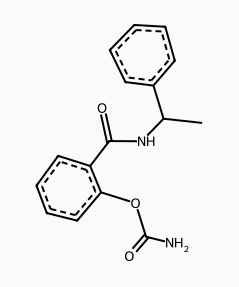 CC(NC(=O)c1ccccc1OC(N)=O)c1ccccc1